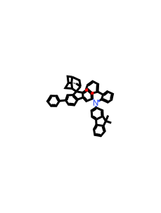 CC1(C)c2ccccc2-c2ccc(N(c3ccc4c(c3)-c3ccc(-c5ccccc5)cc3C43C4CC5CC6CC3[C@]56C4)c3ccccc3-c3ccccc3)cc21